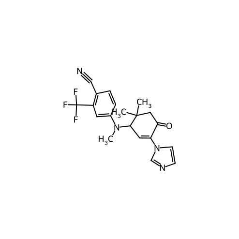 CN(c1ccc(C#N)c(C(F)(F)F)c1)C1C=C(n2ccnc2)C(=O)CC1(C)C